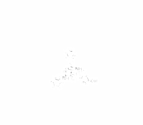 C[C@H](NC(=O)[C@@H](CCc1ccccc1)NCCc1cccc(O)c1)C(=O)NCc1cc[c]cc1